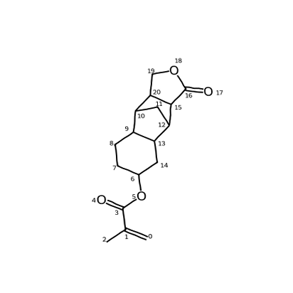 C=C(C)C(=O)OC1CCC2C3CC(C2C1)C1C(=O)OCC31